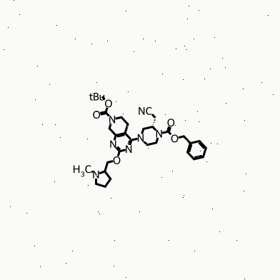 CN1CCCC1COc1nc2c(c(N3CCN(C(=O)OCc4ccccc4)[C@@H](CC#N)C3)n1)CCN(C(=O)OC(C)(C)C)C2